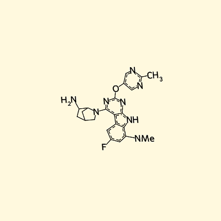 CNc1cc(F)cc2c1[nH]c1nc(Oc3cnc(C)nc3)nc(N3CC4CC(N)C3C4)c12